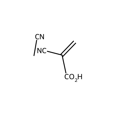 C=C(C#N)C(=O)O.CC#N